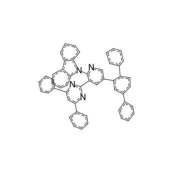 c1ccc(-c2ccc(-c3ccccc3)c(-c3cnc(-n4c5ccccc5c5ccccc54)c(-c4nc(-c5ccccc5)cc(-c5ccccc5)n4)c3)c2)cc1